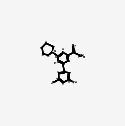 NC(=O)c1cc(-c2cc(F)cc(F)c2)nc(N2CCCCC2)n1